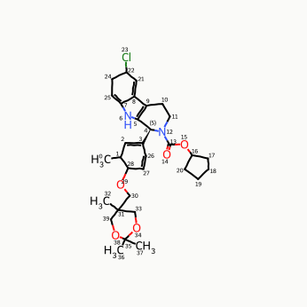 CC1C=C([C@H]2c3[nH]c4c(c3CCN2C(=O)OC2CCCC2)=CC(Cl)CC=4)C=CC1OCC1(C)COC(C)(C)OC1